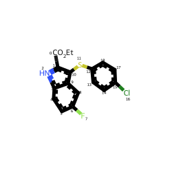 CCOC(=O)c1[nH]c2ccc(F)cc2c1Sc1ccc(Cl)cc1